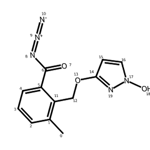 Cc1cccc(C(=O)N=[N+]=[N-])c1COc1ccn(O)n1